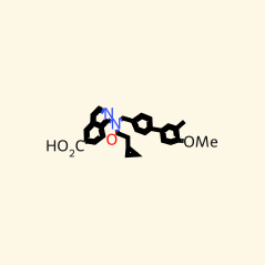 COc1ccc(-c2ccc(CN(C(=O)CC3CC3)c3nccc4cc(C(=O)O)ccc34)cc2)cc1C